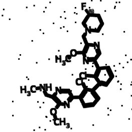 CNCc1ncc(-c2cccc(-c3cccc(-c4cnc(CN5CCC[C@H](F)C5)c(OC)n4)c3Cl)c2Cl)nc1OC